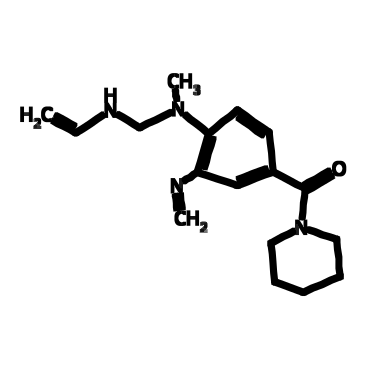 C=CNCN(C)c1ccc(C(=O)N2CCCCC2)cc1N=C